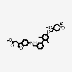 COC(=O)Cc1coc2cc(NCc3cccc(-c4c(C)cc(OCC5(O)CCS(=O)(=O)CC5)cc4C)c3)ccc12